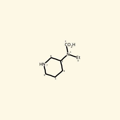 CCN(C(=O)O)C1CCCNC1